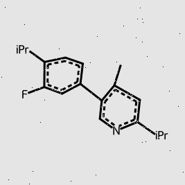 Cc1cc(C(C)C)ncc1-c1ccc(C(C)C)c(F)c1